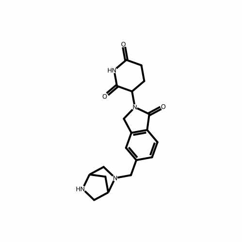 O=C1CCC(N2Cc3cc(CN4CC5CC4CN5)ccc3C2=O)C(=O)N1